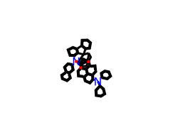 c1ccc(N(c2ccccc2)c2ccc3ccc4c(N(c5ccc6ccccc6c5)c5cccc6c5C5(c7ccccc7-6)C6CC7CC(C6)CC5C7)ccc5ccc2c3c54)cc1